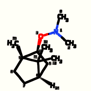 CN(C)O[C@H]1C[C@H]2CC[C@@]1(C)C2(C)C